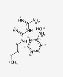 CCCCNC(=N)NC(=N)N.Cl.Nc1ncncn1